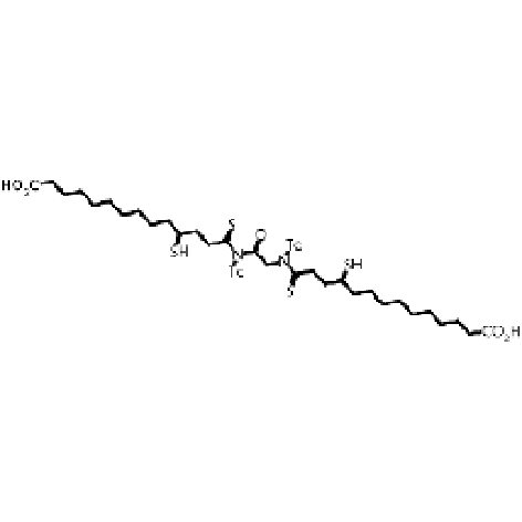 O=C(O)CCCCCCCCCC(S)CCC(=S)[N]([Tc])CC(=O)[N]([Tc])C(=S)CCC(S)CCCCCCCCCC(=O)O